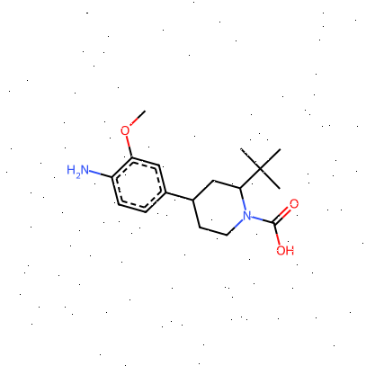 COc1cc(C2CCN(C(=O)O)C(C(C)(C)C)C2)ccc1N